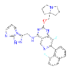 Fc1c(-c2cccc3cccc(F)c23)ncc2c(NCc3nnc4ncccn34)nc(OCC34CCCN3CCC4)nc12